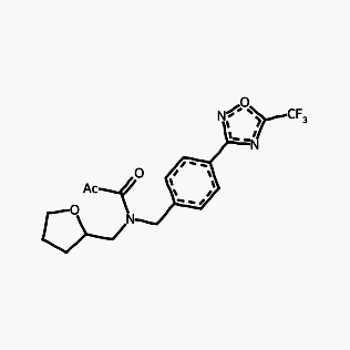 CC(=O)C(=O)N(Cc1ccc(-c2noc(C(F)(F)F)n2)cc1)CC1CCCO1